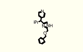 CC(C)C(c1ccncc1)c1c[nH]c(COCc2ccccc2)n1